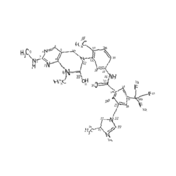 CNc1ncc2c(n1)N(C)C(O)N(c1cc(NC(=O)c3cc(N4C=NC(C)C4)cc(C(F)(F)F)c3)ccc1C)C2